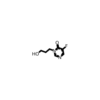 O=c1c(F)cncn1CCCO